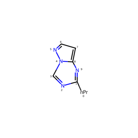 CCCc1n[c]n2nccc2n1